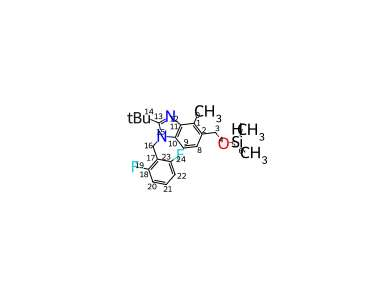 Cc1c(CO[SiH](C)C)ccc2c1nc(C(C)(C)C)n2Cc1c(F)cccc1F